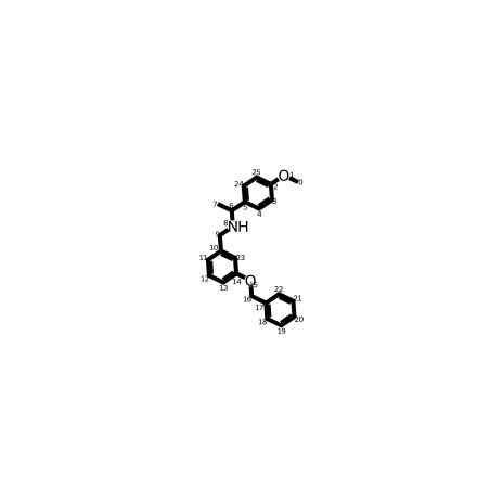 COc1ccc(C(C)NCc2cccc(OCc3ccccc3)c2)cc1